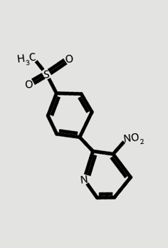 CS(=O)(=O)c1ccc(-c2ncccc2[N+](=O)[O-])cc1